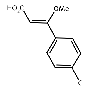 CO/C(=C\C(=O)O)c1ccc(Cl)cc1